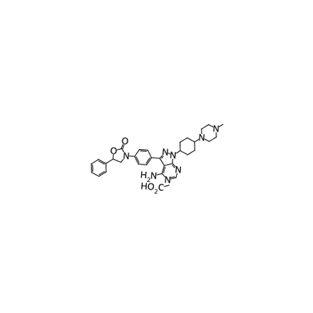 CC(=O)O.CN1CCN(C2CCC(n3nc(-c4ccc(N5CC(c6ccccc6)OC5=O)cc4)c4c(N)ncnc43)CC2)CC1